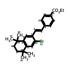 CCOC(=O)c1ccc(C=Cc2cc3c(cc2Br)C(C)(C)CCC3(C)C)cc1